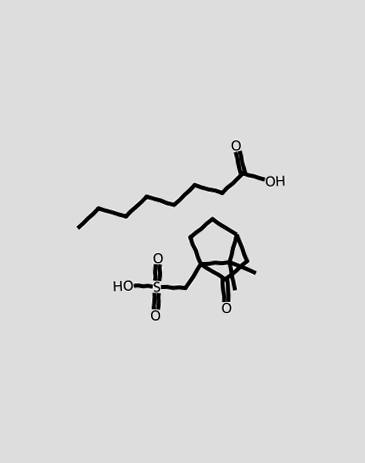 CC1(C)C2CCC1(CS(=O)(=O)O)C(=O)C2.CCCCCCCC(=O)O